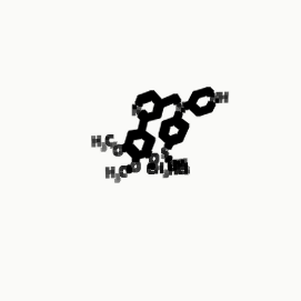 COc1cc(-c2cc(CN(c3ccc(SC)cc3)C3CCNCC3)ccn2)cc(OC)c1OC.Cl.Cl